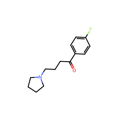 O=C(CCCN1CCCC1)c1ccc(F)cc1